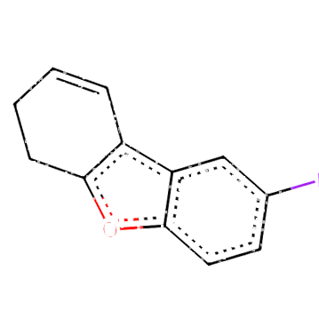 Ic1ccc2oc3c(c2c1)C=CCC3